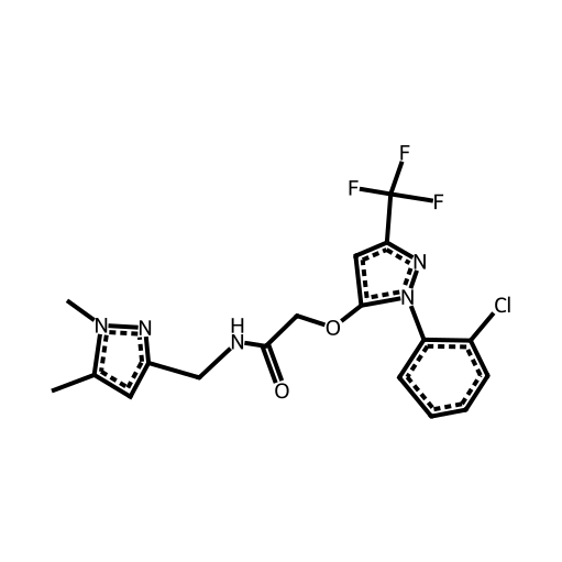 Cc1cc(CNC(=O)COc2cc(C(F)(F)F)nn2-c2ccccc2Cl)nn1C